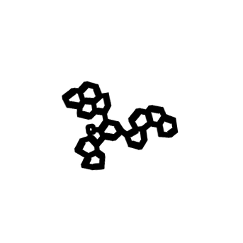 c1ccc2c(c1)ccc1ccc3c(-c4cc(-c5ccc6ccc7cccc8ccc5c6c78)c5oc6ccc7ccccc7c6c5c4)cccc3c12